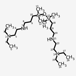 CCN(CC)CCNCCC[Si](C)(C)O[Si](C)(C)CCCNCCN(CC)CC